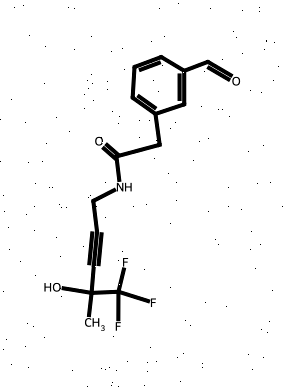 CC(O)(C#CCNC(=O)Cc1cccc(C=O)c1)C(F)(F)F